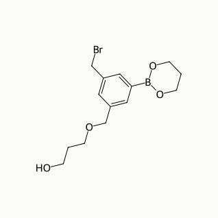 OCCCOCc1cc(CBr)cc(B2OCCCO2)c1